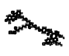 CC1=C(C)C2C(c3ccc(Cl)cc3)=N[C@@H](CC(=O)Nc3ccc(OCCOCCN(CCOCCNc4cccc5c4C(=O)N(C4CCC(=O)NC4=O)C5=O)C(=O)CCCCCCC(=O)OC(C)(C)C)cc3)c3nnc(C)n3C2S1